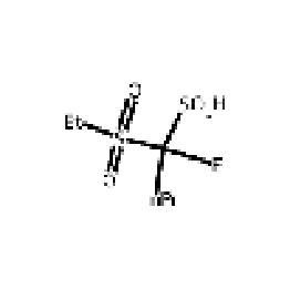 CCCC(F)(S(=O)(=O)O)S(=O)(=O)CC